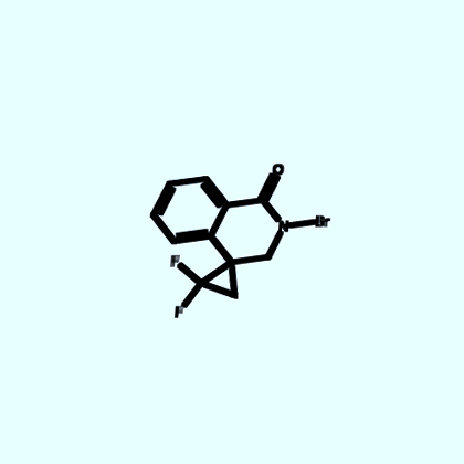 O=C1c2ccccc2C2(CN1Br)CC2(F)F